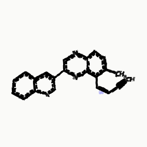 C#C/C=C\c1c(C)ccc2ncc(-c3cnc4ccccc4c3)nc12